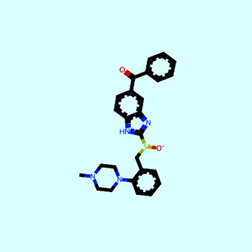 CN1CCN(c2ccccc2C[S+]([O-])c2nc3cc(C(=O)c4ccccc4)ccc3[nH]2)CC1